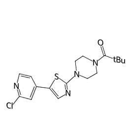 CC(C)(C)C(=O)N1CCN(c2ncc(-c3ccnc(Cl)c3)s2)CC1